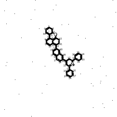 C1=CCC2OC3=c4c(cccc4=C(c4ccc5ccc(C6=CC(c7ccccc7)=NC(c7ccccc7)C6)cc5c4)CC3)C2=C1